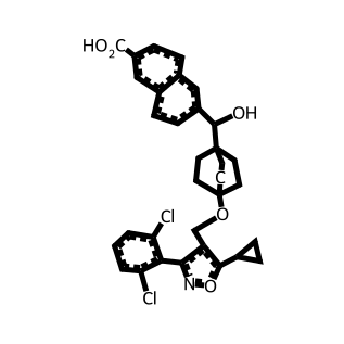 O=C(O)c1ccc2cc(C(O)C34CCC(OCc5c(-c6c(Cl)cccc6Cl)noc5C5CC5)(CC3)CC4)ccc2c1